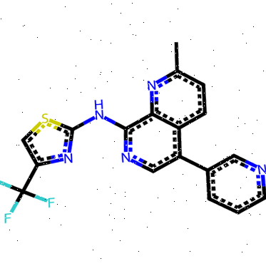 Cc1ccc2c(-c3cccnc3)cnc(Nc3nc(C(F)(F)F)cs3)c2n1